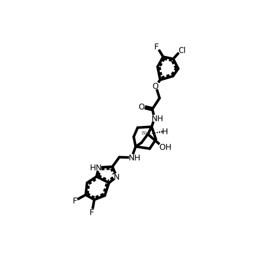 O=C(COc1ccc(Cl)c(F)c1)NC12CCC(NCc3nc4cc(F)c(F)cc4[nH]3)(CC1)C[C@@H]2O